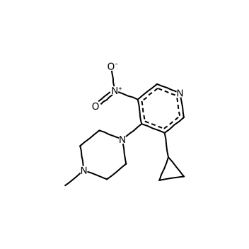 CN1CCN(c2c(C3CC3)cncc2[N+](=O)[O-])CC1